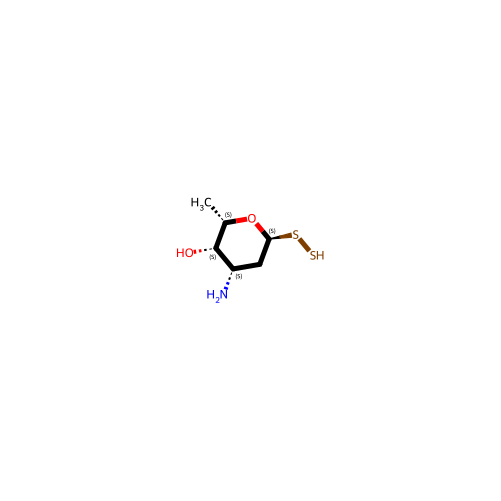 C[C@@H]1O[C@@H](SS)C[C@H](N)[C@@H]1O